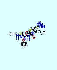 O=CNc1nc(C(=NOC2C=CCCC2)C(=O)NC2C(=O)N3C(C(=O)O)=C(CSc4nnn[nH]4)CS[C@@H]23)cs1